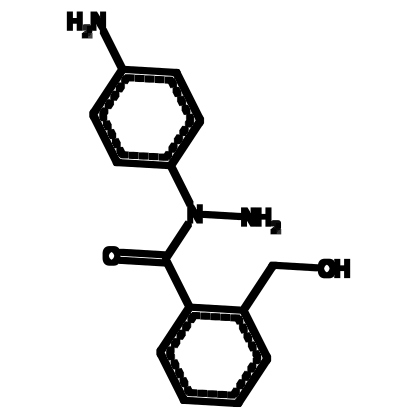 Nc1ccc(N(N)C(=O)c2ccccc2CO)cc1